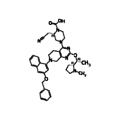 C[C@@H](Oc1nc2c(c(N3CCN(C(=O)O)[C@@H](CC#N)C3)n1)CCN(c1cc(OCc3ccccc3)cc3ccccc13)C2)[C@H]1CCCN1C